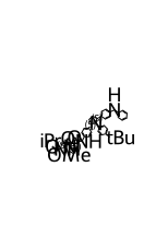 COC(=O)N[C@H](C(=O)N1CCC[C@H]1C(=O)Nc1ccc([C@@H]2CC[C@@H](c3ccc(Nc4ccccc4)cc3)N2c2ccc(C(C)(C)C)cc2)cc1)C(C)C